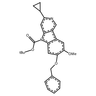 COc1cc2c3cnc(C4CC4)cc3n(C(=O)OC(C)(C)C)c2cc1OCc1ccccc1